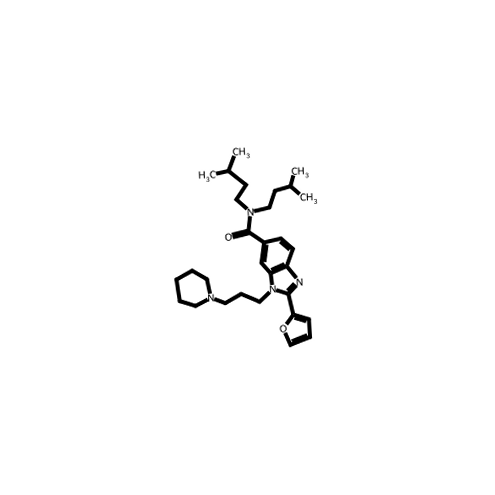 CC(C)CCN(CCC(C)C)C(=O)c1ccc2nc(-c3ccco3)n(CCCN3CCCCC3)c2c1